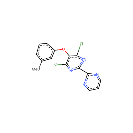 COc1cccc(Oc2c(Cl)nc(-c3ncccn3)nc2Cl)c1